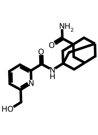 NC(=O)C12CC3CC(CC(NC(=O)c4cccc(CO)n4)(C3)C1)C2